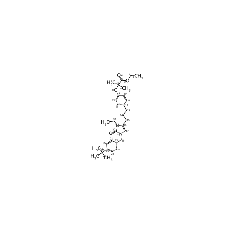 CCOC(=O)C(C)(C)Oc1ccc(CCCc2cn(Cc3ccc(C(C)(C)C)cc3)c(=O)n2CC)cc1